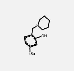 CC(C)(C)c1ccc(CN2CCCCC2)c(O)c1